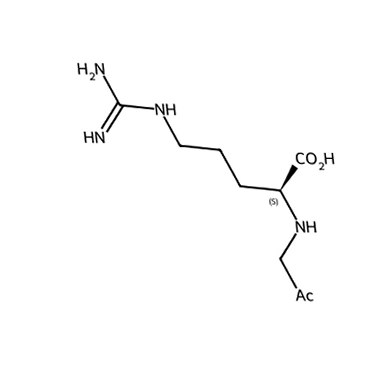 CC(=O)CN[C@@H](CCCNC(=N)N)C(=O)O